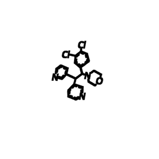 Clc1ccc(C(C(c2cccnc2)c2cccnc2)N2CCOCC2)cc1Cl